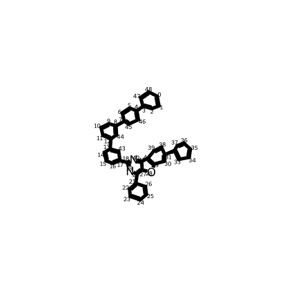 c1ccc(-c2ccc(-c3cccc(-c4cccc(-c5nc(-c6ccccc6)c6oc7cc(-c8ccccc8)ccc7c6n5)c4)c3)cc2)cc1